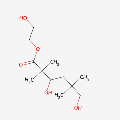 CC(C)(CO)CC(O)C(C)(C)C(=O)OCCO